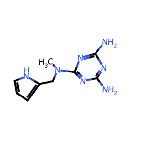 CN(Cc1ccc[nH]1)c1nc(N)nc(N)n1